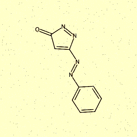 O=C1C=C(N=Nc2ccccc2)N=N1